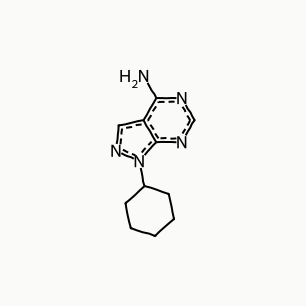 Nc1ncnc2c1cnn2C1CCCCC1